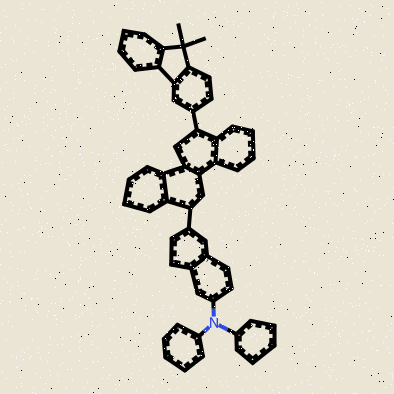 CC1(C)c2ccccc2-c2cc(-c3cc4c5ccccc5c(-c5ccc6cc(N(c7ccccc7)c7ccccc7)ccc6c5)cc4c4ccccc34)ccc21